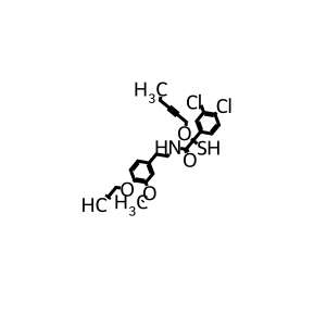 C#CCOc1ccc(CCNC(=O)C(S)(OCC#CCC)c2ccc(Cl)c(Cl)c2)cc1OC